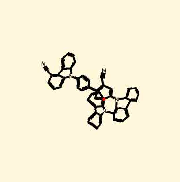 N#Cc1cc(-n2c3ccccc3c3cccc(-n4c5ccccc5c5ccccc54)c32)ccc1-c1ccc(-n2c3ccccc3c3c(C#N)cccc32)cc1